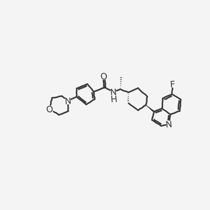 C[C@@H](NC(=O)c1ccc(N2CCOCC2)cc1)[C@H]1CC[C@H](c2ccnc3ccc(F)cc32)CC1